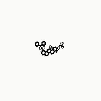 COC(=O)CO[C@H]1CC[C@@]2(C)C(CC[C@]3(C)[C@@H]2C(=O)C=C2[C@@H]4C[C@@](C)(C(=O)OC(c5ccccc5)c5ccccc5)CC[C@]4(C)CC[C@]23C)C1(C)C